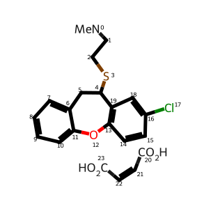 CNCCSC1Cc2ccccc2Oc2ccc(Cl)cc21.O=C(O)/C=C\C(=O)O